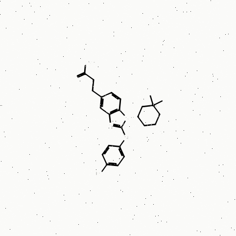 COC(=O)CCc1ccc2c(c1)nc(Nc1ccc(C(C)C)cc1)n2[C@H]1C[C@@H](C)CC(C)(C)C1